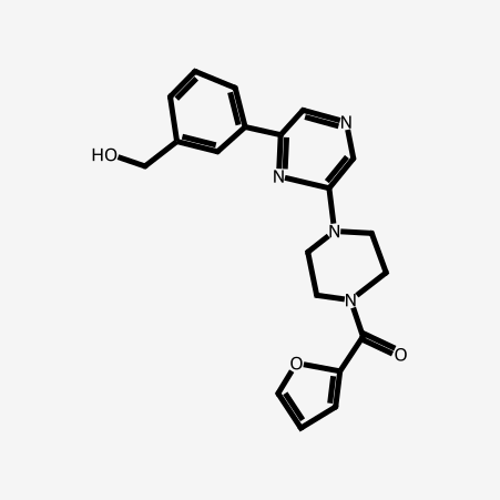 O=C(c1ccco1)N1CCN(c2cncc(-c3cccc(CO)c3)n2)CC1